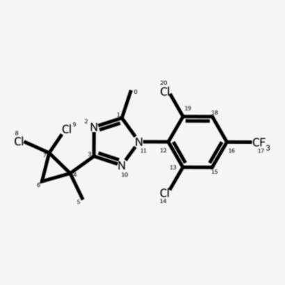 Cc1nc(C2(C)CC2(Cl)Cl)nn1-c1c(Cl)cc(C(F)(F)F)cc1Cl